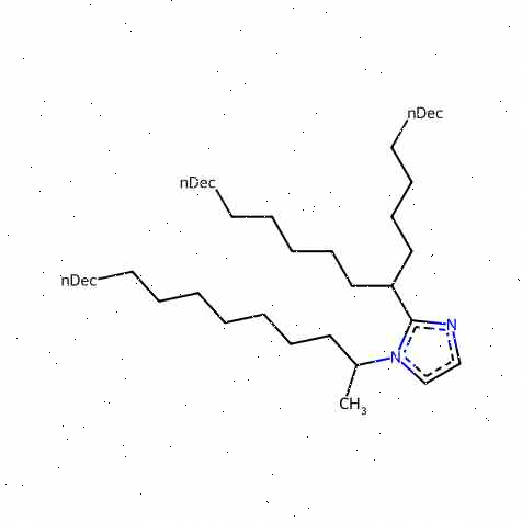 CCCCCCCCCCCCCCCCCC(C)n1ccnc1C(CCCCCCCCCCCCCC)CCCCCCCCCCCCCCC